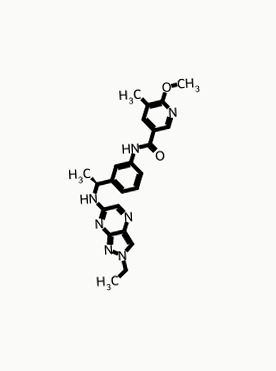 CCn1cc2ncc(N[C@@H](C)c3cccc(NC(=O)c4cnc(OC)c(C)c4)c3)nc2n1